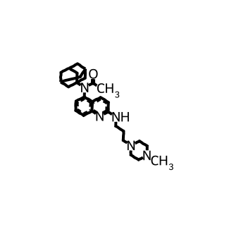 CC(=O)N(c1cccc2nc(NCCCN3CCN(C)CC3)ccc12)C12CC3CC(CC(C3)C1)C2